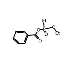 CCOP(=O)(CC)OC(=O)c1ccccc1